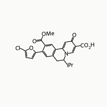 COC(=O)c1cc2c(cc1-c1ccc(Cl)o1)CC(C(C)C)n1cc(C(=O)O)c(=O)cc1-2